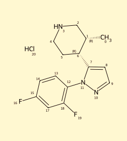 C[C@H]1CNCC[C@H]1c1ccnn1-c1ccc(F)cc1F.Cl